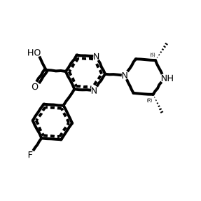 C[C@@H]1CN(c2ncc(C(=O)O)c(-c3ccc(F)cc3)n2)C[C@H](C)N1